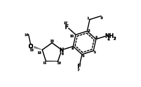 CCc1c(N)cc(F)c(N2CC[C@H](OC)C2)c1F